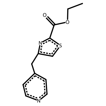 CCOC(=O)c1nc(Cc2ccncc2)cs1